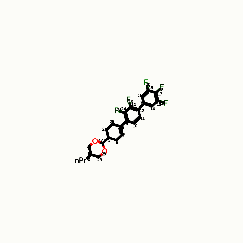 CCCC1COC(C2CC=C(c3ccc(-c4cc(F)c(F)c(F)c4)c(F)c3F)CC2)OC1